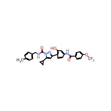 Cc1ccc(CNC(=O)n2nc(-c3ccc(NC(=O)c4ccc(OC(F)(F)F)cc4)cc3O)cc2C2CC2)cc1